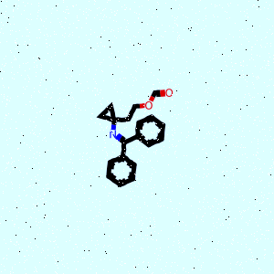 O=COCCC1(N=C(c2ccccc2)c2ccccc2)CC1